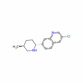 C[C@H]1CC[C@H](c2ccc3cc(Cl)cnc3c2)NC1